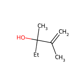 C=C(C)C(C)(O)CC